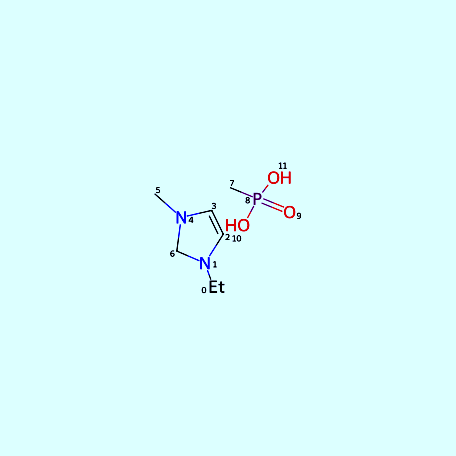 CCN1C=CN(C)C1.CP(=O)(O)O